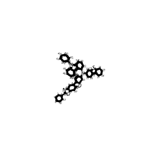 c1ccc(-c2nc3cc4c(cc3o2)oc2cc(N(c3ccc5c(c3)sc3ccccc35)c3cccc5c3c3ccccc3n5-c3ccccc3)ccc24)cc1